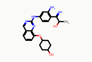 CC(O)C(=N)c1ccc(Nc2ncc3cccc(OC4CCC(O)CC4)c3n2)cc1N